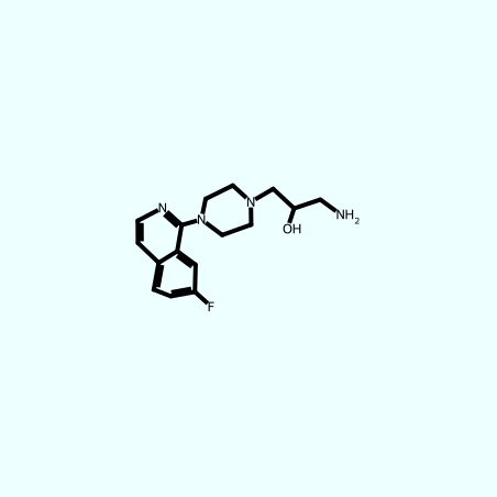 NCC(O)CN1CCN(c2nccc3ccc(F)cc23)CC1